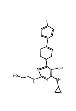 N#Cc1c(NC2CC2)nc(NCCO)nc1N1CC=C(c2ccc(F)cc2)CC1